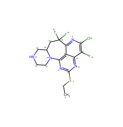 CCSc1nc2c3c(nc(Cl)c(F)c3n1)C(F)(F)CC1CNCCN21